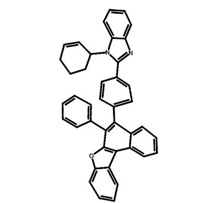 C1=CC(n2c(-c3ccc(-c4c(-c5ccccc5)c5oc6ccccc6c5c5ccccc45)cc3)nc3ccccc32)CCC1